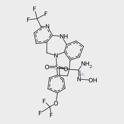 N/C(=N\O)C1(c2cccc3c2N(S(=O)(=O)c2ccc(OC(F)(F)F)cc2)Cc2ccc(C(F)(F)F)nc2N3)CCC1